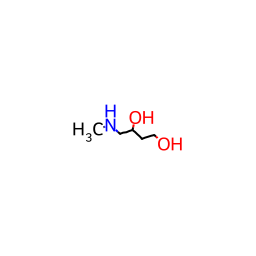 CNCC(O)CCO